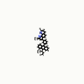 C/C=C\C(CC)c1c2ccccc2c(-c2cccc(-c3cc(CC)nc4c3ccc3ccc(C)nc34)c2)c2ccccc12